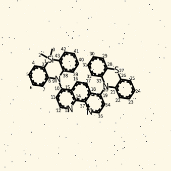 C[Si]1(C)c2ccccc2N(c2ccnc3c2ccc2c(N4c5ccccc5Sc5ccccc54)ccnc23)c2ccccc21